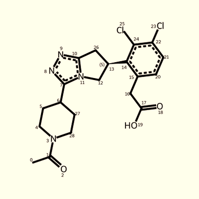 CC(=O)N1CCC(c2nnc3n2C[C@H](c2c(CC(=O)O)ccc(Cl)c2Cl)C3)CC1